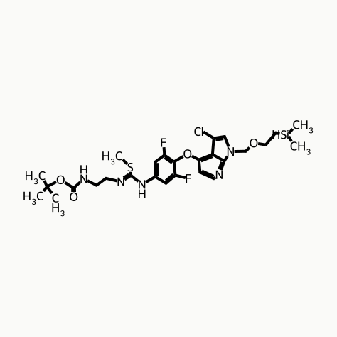 CS/C(=N\CCNC(=O)OC(C)(C)C)Nc1cc(F)c(Oc2ccnc3c2c(Cl)cn3COCC[SiH](C)C)c(F)c1